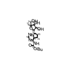 CC(C)COC(=O)Nc1ncnn2c([C@@H]3O[C@](C)(CO)[C@@H](O)[C@H]3O)ccc12